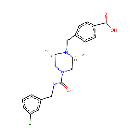 C[C@@H]1CN(C(=O)NCc2cccc(F)c2)C[C@H](C)N1Cc1ccc(C(=O)O)cc1